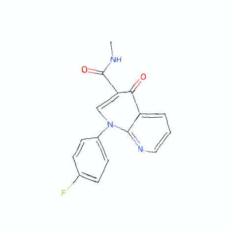 CNC(=O)c1cn(-c2ccc(F)cc2)c2ncccc2c1=O